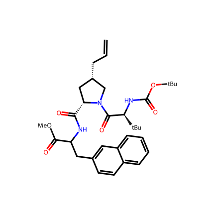 C=CC[C@H]1C[C@@H](C(=O)NC(Cc2ccc3ccccc3c2)C(=O)OC)N(C(=O)[C@@H](NC(=O)OC(C)(C)C)C(C)(C)C)C1